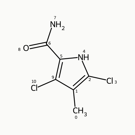 Cc1c(Cl)[nH]c(C(N)=O)c1Cl